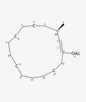 CC(=O)O/C1=C/[C@H](C)CCCCCCCCCCCC1